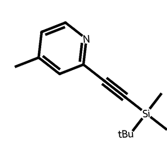 Cc1ccnc(C#C[Si](C)(C)C(C)(C)C)c1